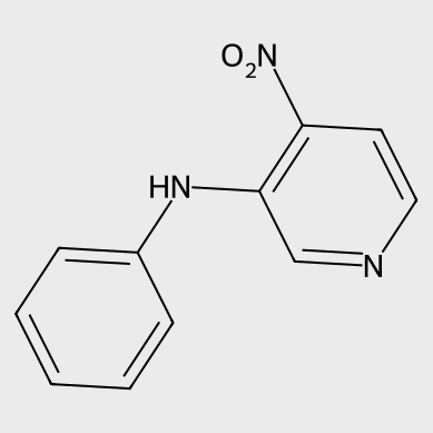 O=[N+]([O-])c1ccncc1Nc1ccccc1